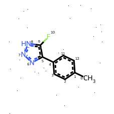 Cc1ccc(-c2nn[nH]c2F)cc1